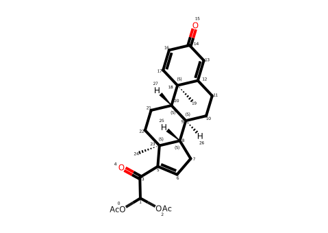 CC(=O)OC(OC(C)=O)C(=O)C1=CC[C@H]2[C@@H]3CCC4=CC(=O)C=C[C@]4(C)[C@H]3CC[C@]12C